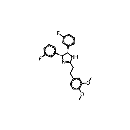 COc1ccc(CCC2=N[C@@H](c3cccc(F)c3)[C@@H](c3cccc(F)c3)N2)cc1OC